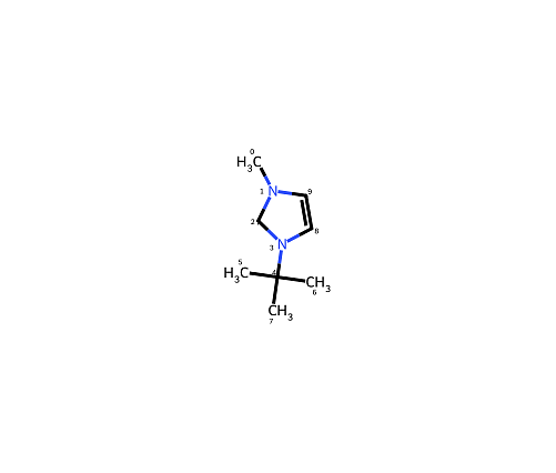 CN1[CH]N(C(C)(C)C)C=C1